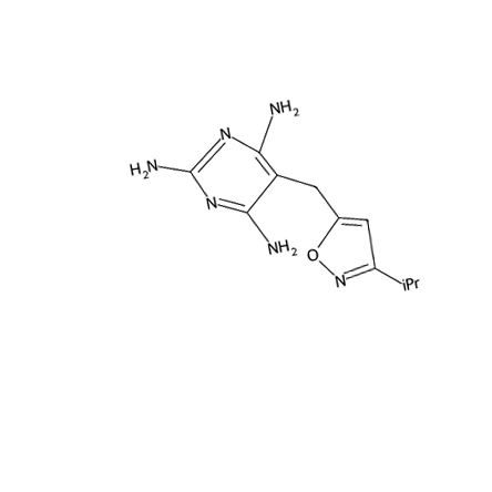 CC(C)c1cc(Cc2c(N)nc(N)nc2N)on1